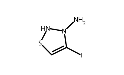 NN1NSC=C1I